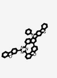 c1ccc(-c2nc(-c3ccc4c(c3)oc3ccccc34)nc(-c3cccc4oc5ccc(-c6ccc7c(c6)c6cc8sc9ccccc9c8cc6n7-c6ccccc6)cc5c34)n2)cc1